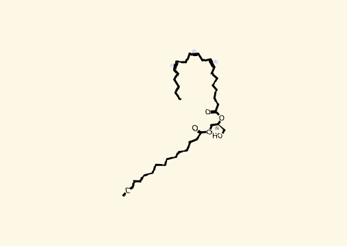 CCCCC/C=C\C/C=C\C/C=C\CCCCCCC(=O)O[C@@H](CO)COC(=O)CCCCCCCCCCCCCCC